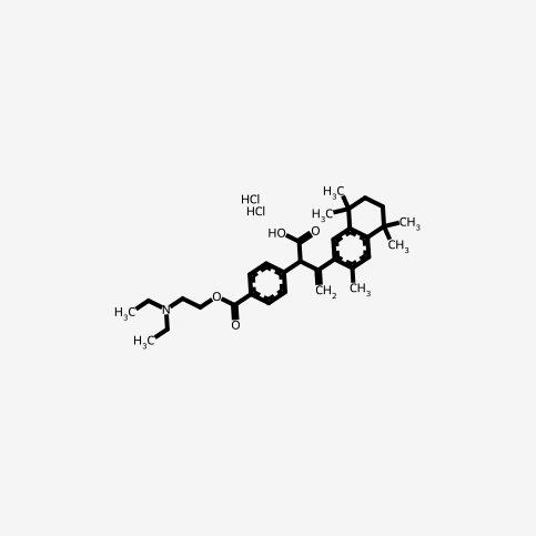 C=C(c1cc2c(cc1C)C(C)(C)CCC2(C)C)C(C(=O)O)c1ccc(C(=O)OCCN(CC)CC)cc1.Cl.Cl